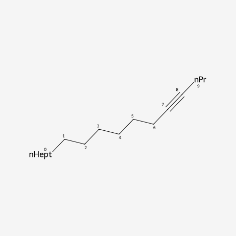 [CH2]CCCCCCCCCCCCC#CCCC